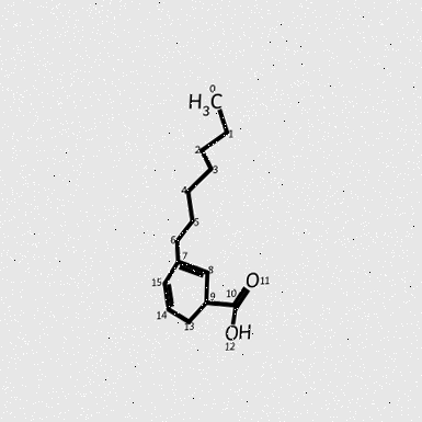 CCCCCCCC1=CC(C(=O)O)CC=C1